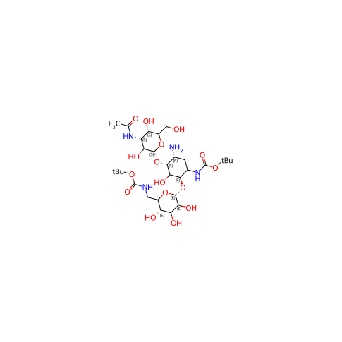 CC(C)(C)OC(=O)NCC1O[C@H](O[C@@H]2C(NC(=O)OC(C)(C)C)C[C@@H](N)[C@@H](O[C@H]3OC(CO)[C@@H](O)[C@@H](NC(=O)C(F)(F)F)C3O)C2O)[C@@H](O)C(O)[C@@H]1O